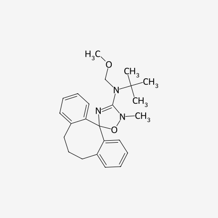 COCN(C1=NC2(ON1C)c1ccccc1CCCc1ccccc12)C(C)(C)C